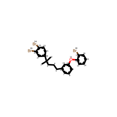 CC(C)(CCCc1cccc(Oc2ccccc2Br)c1)c1ccc(Br)c(Br)c1